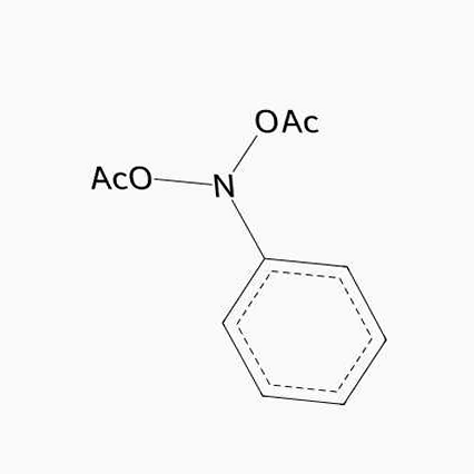 CC(=O)ON(OC(C)=O)c1ccccc1